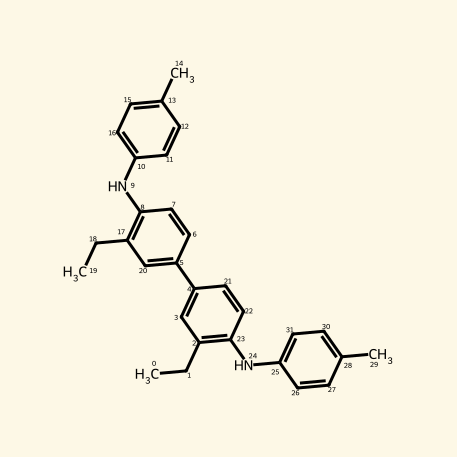 CCc1cc(-c2ccc(Nc3ccc(C)cc3)c(CC)c2)ccc1Nc1ccc(C)cc1